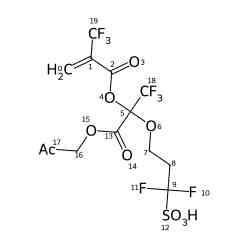 C=C(C(=O)OC(OCCC(F)(F)S(=O)(=O)O)(C(=O)OCC(C)=O)C(F)(F)F)C(F)(F)F